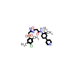 Cc1cc(S(=O)(=O)Cc2noc(CC(=O)NC3CCC(c4ccncc4)CC3(C)C)n2)c(C)cc1Cl